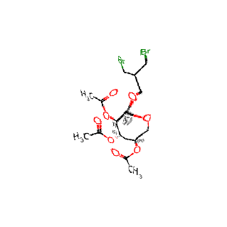 CC(=O)O[C@@H]1[C@@H](OC(C)=O)[C@@H](OCC(CBr)CBr)OC[C@H]1OC(C)=O